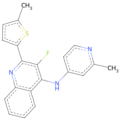 Cc1cc(Nc2c(F)c(-c3ccc(C)s3)nc3ccccc23)ccn1